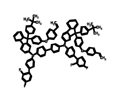 C=Cc1ccc(Oc2ccc(C3(c4ccc(C(C)(C)C)cc4)c4ccccc4-c4ccc(N(c5ccc(-c6ccc(N(c7ccc(-c8ccc(F)cc8F)cc7)c7ccc8c(c7)C(c7ccc(Oc9ccc(C=C)cc9)cc7)(c7ccc(C(C)(C)C)cc7)c7ccccc7-8)cc6)cc5)c5ccc(-c6ccc(F)cc6F)cc5)cc43)cc2)cc1